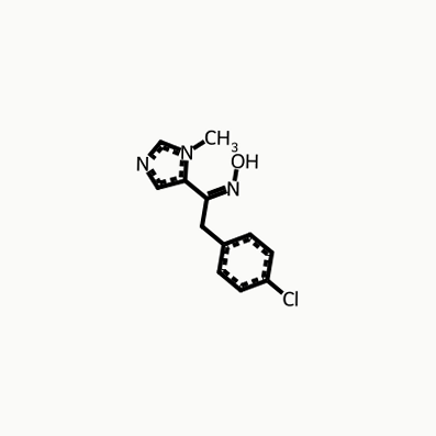 Cn1cncc1C(Cc1ccc(Cl)cc1)=NO